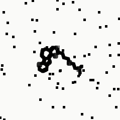 CN(C)CCOCCCC1=NC=C2CC=CC3=C4OCC=CC4=CC3=C2O1